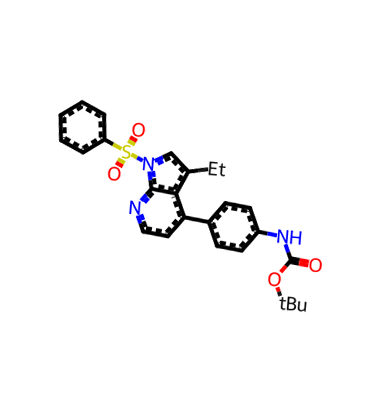 CCc1cn(S(=O)(=O)c2ccccc2)c2nccc(-c3ccc(NC(=O)OC(C)(C)C)cc3)c12